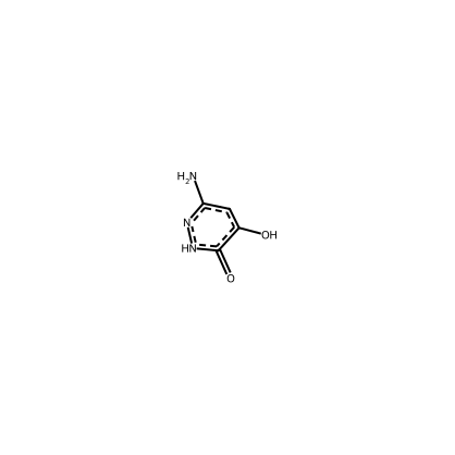 Nc1cc(O)c(=O)[nH]n1